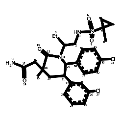 CCC(CNS(=O)(=O)C1(C)CC1)N1C(=O)C(C)(CC(N)=O)CC(c2cccc(Cl)c2)C1c1ccc(Cl)cc1